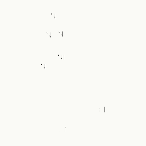 C[C@@H]1C2N=C(Cn3cncn3)NC2C[C@@H]1c1cc(Cl)cc(Cl)c1